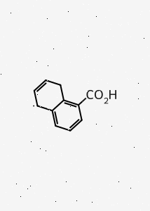 O=C(O)c1cccc2c1CC=C[CH]2